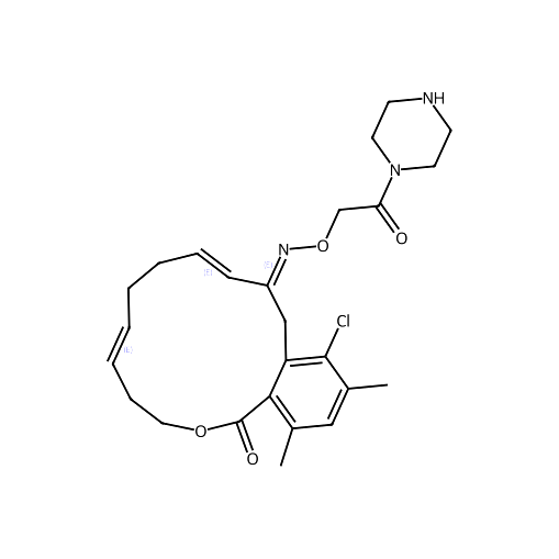 Cc1cc(C)c2c(c1Cl)CC(=N\OCC(=O)N1CCNCC1)/C=C/CC/C=C/CCOC2=O